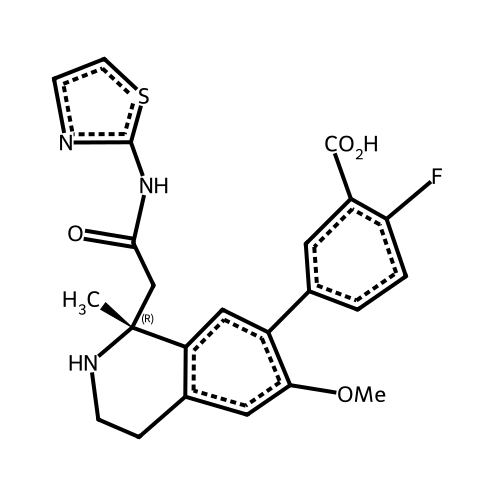 COc1cc2c(cc1-c1ccc(F)c(C(=O)O)c1)[C@@](C)(CC(=O)Nc1nccs1)NCC2